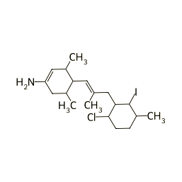 C/C(=C\C1C(C)C=C(N)CC1C)CC1C(Cl)CCC(C)C1I